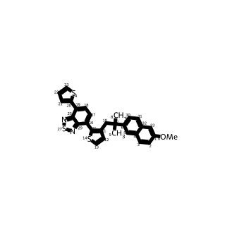 COc1ccc2cc(C(C)(C)Cc3ccsc3-c3ccc(-c4cccs4)c4nsnc34)ccc2c1